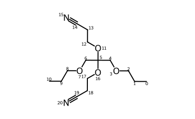 CCCOCC(COCCC)(OCCC#N)OCCC#N